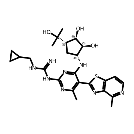 Cc1nc(NC(=N)NCC2CC2)nc(N[C@@H]2C[C@H](C(C)(C)O)[C@@H](O)[C@H]2O)c1-c1nc2c(C)nccc2s1